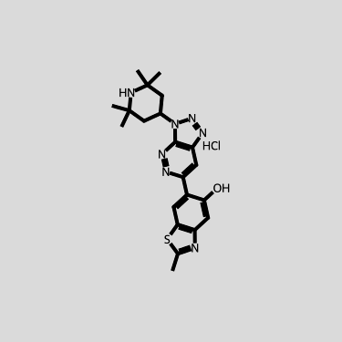 Cc1nc2cc(O)c(-c3cc4nnn(C5CC(C)(C)NC(C)(C)C5)c4nn3)cc2s1.Cl